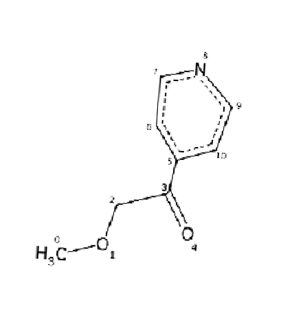 COCC(=O)c1ccncc1